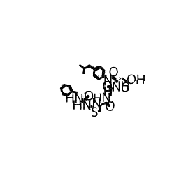 CC(C)Cc1ccc(NC(=O)[C@H](CC(=O)O)NC(=O)CNC(=O)c2csc(NC(=O)NCc3ccccc3)n2)cc1